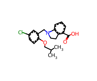 CC(C)COc1ccc(Cl)cc1CN1CCc2c(C(=O)O)cccc21